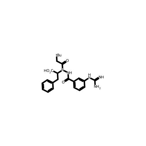 CC(C)(C)CC(=O)N(NC(=O)c1cccc(NC(=N)N)c1)C(Cc1ccccc1)C(=O)O